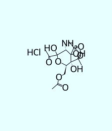 CC(=O)OC[C@H]1OC(O)(C(C)=O)[C@H](N)[C@](O)(C(C)=O)[C@@]1(O)C(C)=O.Cl